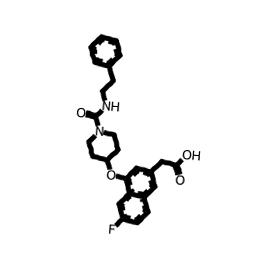 O=C(O)Cc1cc(OC2CCN(C(=O)NCCc3ccccc3)CC2)c2cc(F)ccc2c1